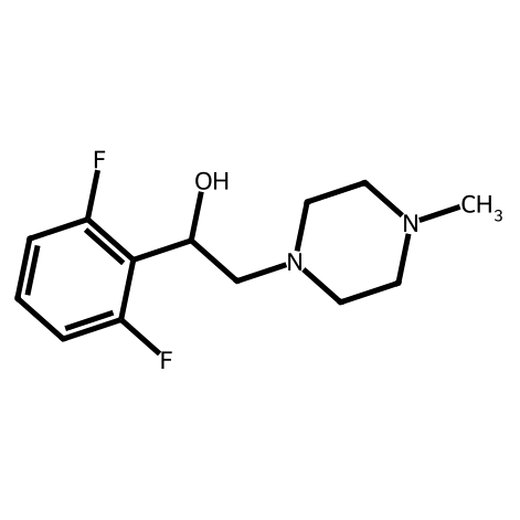 CN1CCN(CC(O)c2c(F)cccc2F)CC1